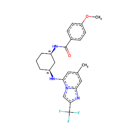 COc1ccc(C(=O)N[C@@H]2CCC[C@H](Nc3cc(C)cc4nc(C(F)(F)F)cn34)C2)cc1